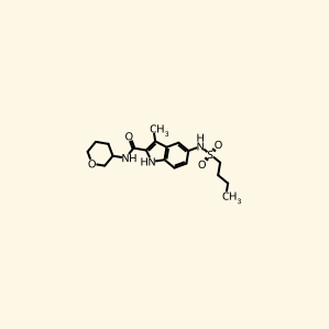 CCCCS(=O)(=O)Nc1ccc2[nH]c(C(=O)NC3CCCOC3)c(C)c2c1